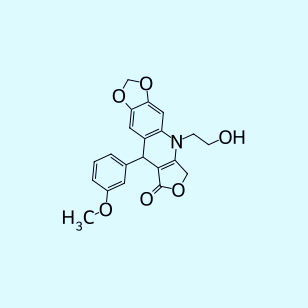 COc1cccc(C2C3=C(COC3=O)N(CCO)c3cc4c(cc32)OCO4)c1